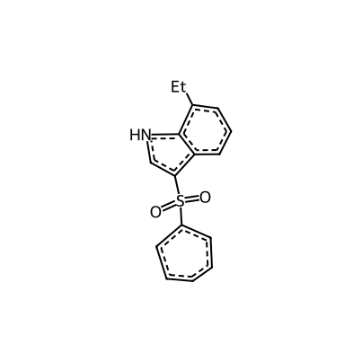 [CH2]Cc1cccc2c(S(=O)(=O)c3ccccc3)c[nH]c12